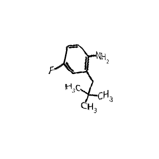 CC(C)(C)Cc1cc(F)ccc1N